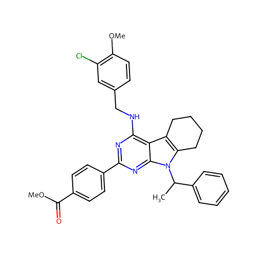 COC(=O)c1ccc(-c2nc(NCc3ccc(OC)c(Cl)c3)c3c4c(n(C(C)c5ccccc5)c3n2)CCCC4)cc1